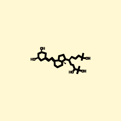 CC(C)(O)CCC[C@@H](CCC(O)C(C)(C)O)C1CCC2/C(=C/C=C3C[C@@H](O)C[C@H](O)C3)CCC[C@@]21C